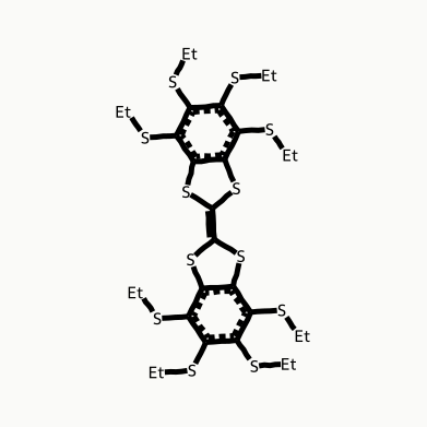 CCSc1c(SCC)c(SCC)c2c(c1SCC)SC(=C1Sc3c(SCC)c(SCC)c(SCC)c(SCC)c3S1)S2